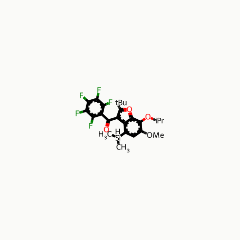 COc1cc([SiH](C)C)c2c(C(=O)c3c(F)c(F)c(F)c(F)c3F)c(C(C)(C)C)oc2c1OC(C)C